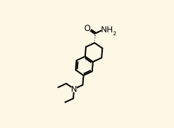 CCN(CC)Cc1ccc2c(c1)CC[C@@H](C(N)=O)C2